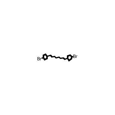 Brc1ccc(C=CCCCCC=Cc2ccc(Br)cc2)cc1